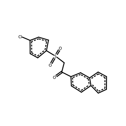 O=C(CS(=O)(=O)c1ccc(Cl)cc1)c1ccc2ccccc2c1